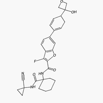 N#CC1(NC(=O)C2(NC(=O)c3oc4cc(C5=CCC(C6(O)COC6)C=C5)ccc4c3F)CCCCC2)CC1